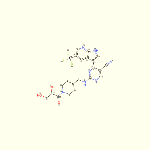 N#Cc1cnc(NCC2CCN(C(=O)C(O)CO)CC2)nc1-c1c[nH]c2ncc(C(F)(F)F)cc12